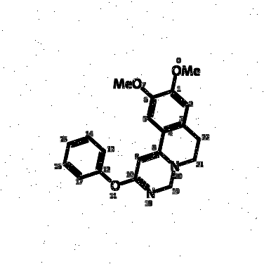 COc1cc2c(cc1OC)C1=CC(Oc3ccccc3)=NCN1CC2